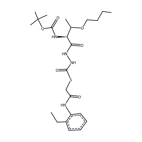 CCCCOC(C)[C@H](NC(=O)OC(C)(C)C)C(=O)NNC(=O)SCC(=O)Nc1ccccc1CC